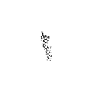 COc1cc2c(cc1N1CCN(C(=O)OC(C)(C)C)CC1)ncn2-c1ccc(C(F)F)c(-n2nc(C#N)cc2C)n1